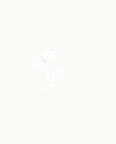 CC[Si](CC)(CC)O[C@H]1CC(CC[C@H](CO[Si](C)(C)C(C)(C)C)O[Si](C)(C)C(C)(C)C)CC1[C@@H](C)CCO